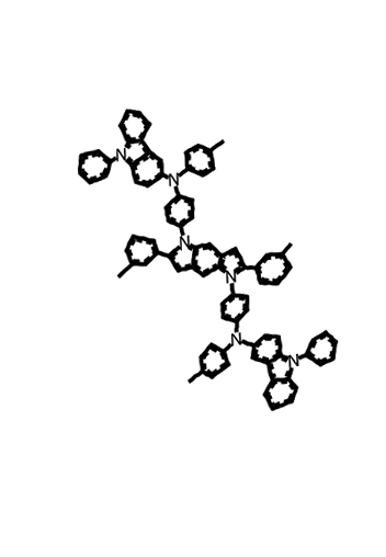 Cc1ccc(N(c2ccc(-n3c(-c4cccc(C)c4)cc4cc5c(cc(-c6cccc(C)c6)n5-c5ccc(N(c6ccc(C)cc6)c6ccc7c(c6)c6ccccc6n7-c6ccccc6)cc5)cc43)cc2)c2ccc3c(c2)c2ccccc2n3-c2ccccc2)cc1